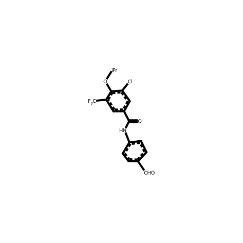 CC(C)Oc1c(Cl)cc(C(=O)Nc2ccc(C=O)cc2)cc1C(F)(F)F